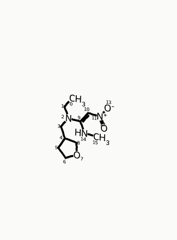 CCN(CC1CCOC1)C(=C[N+](=O)[O-])NC